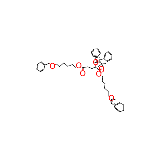 CC(C)(C)[Si](OC(CCC(=O)OCCCCCCOCc1ccccc1)C(=O)OCCCCCCOCc1ccccc1)(c1ccccc1)c1ccccc1